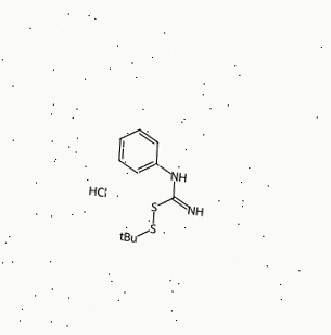 CC(C)(C)SSC(=N)Nc1ccccc1.Cl